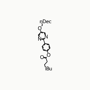 CCCCCCCCCCCOc1cnc(-c2ccc(OC(=O)CCC(C)CC)cc2)nc1